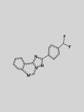 FC(F)c1ccc(-c2nc3c4ccccc4ncn3n2)cc1